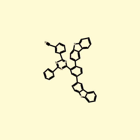 N#Cc1cccc(-c2nc(-c3ccccc3)nc(-c3cc(-c4ccc5sc6ccccc6c5c4)ccc3-c3ccc4sc5ccccc5c4c3)n2)c1